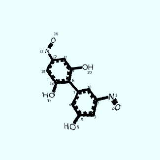 O=Nc1cc(O)cc(-c2c(O)cc(N=O)cc2O)c1